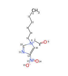 CCCCCC[N+]1(CC=O)C=NC([N+](=O)[O-])=C1